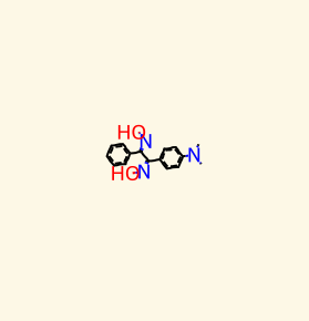 CN(C)c1ccc(C(=NO)C(=NO)c2ccccc2)cc1